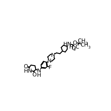 CC(C)(C)OC(=O)NC1CCC(CCN2CCN(c3ccc(NC4CCC(=O)NC4=O)cc3F)CC2)CC1